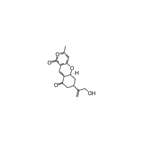 C=C(CO)[C@H]1CC(=O)C2=Cc3c(cc(C)oc3=O)O[C@H]2C1